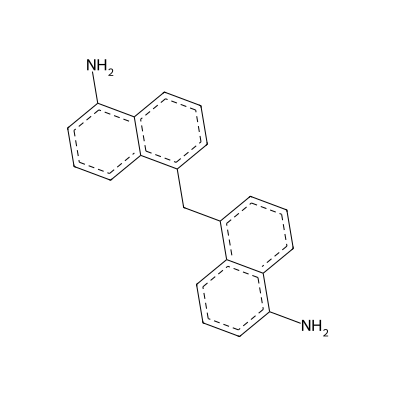 Nc1cccc2c(Cc3cccc4c(N)cccc34)cccc12